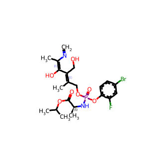 C=N/C(C)=C(O)\C(CO)=C(/C)COP(=O)(N[C@@H](C)C(=O)OC(C)C)Oc1ccc(Br)cc1F